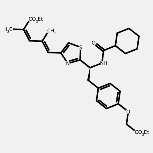 CCOC(=O)COc1ccc(C[C@H](NC(=O)C2CCCCC2)c2nc(/C=C(C)/C=C(/C)C(=O)OCC)cs2)cc1